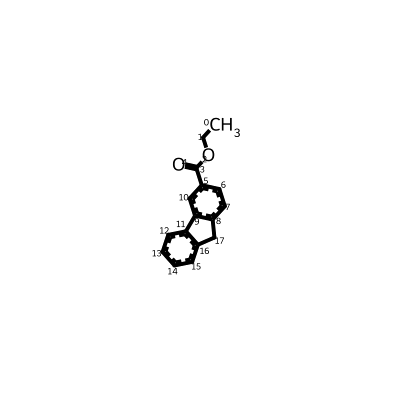 CCOC(=O)c1ccc2c(c1)-c1ccccc1C2